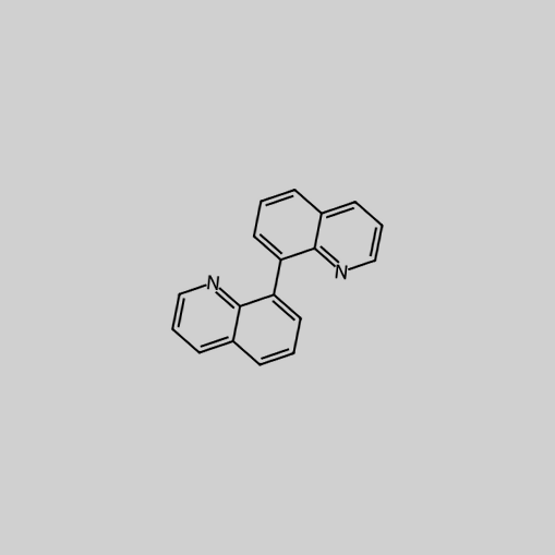 c1cnc2c(-c3cccc4cccnc34)cccc2c1